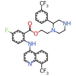 O=C(OCCN1CCNCC1c1cccc(C(F)(F)F)c1)c1cc(F)ccc1Nc1ccnc2c(C(F)(F)F)cccc12